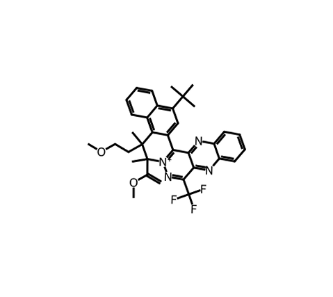 C=C(OC)C1(C)[n+]2nc(C(F)(F)F)c3nc4ccccc4nc3c2-c2cc(C(C)(C)C)c3ccccc3c2C1(C)CCOC